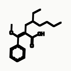 CCCCC(CC)CC(C(=O)O)=C(OC)c1ccccc1